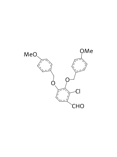 COc1ccc(COc2ccc(C=O)c(Cl)c2OCc2ccc(OC)cc2)cc1